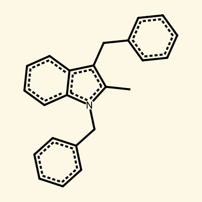 Cc1c(Cc2ccccc2)c2ccccc2n1Cc1ccccc1